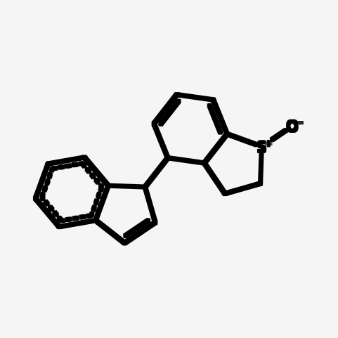 [O-][S+]1CCC2C1=CC=CC2C1C=Cc2ccccc21